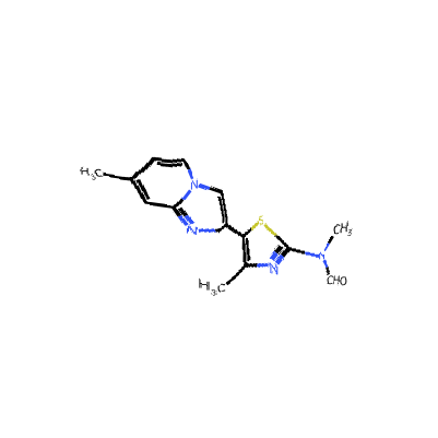 Cc1ccn2cc(-c3sc(N(C)C=O)nc3C)nc2c1